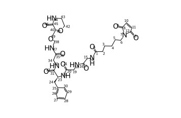 O=C(CCCCCN1C(=O)C=CC1=O)NCC(=O)NCC(=O)N[C@@H](Cc1ccccc1)C(=O)NCC(=O)NCOC1OCCNC1=O